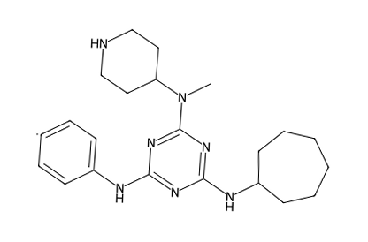 CN(c1nc(Nc2cc[c]cc2)nc(NC2CCCCCC2)n1)C1CCNCC1